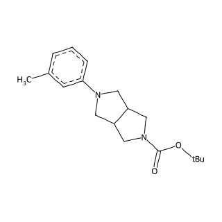 Cc1cccc(N2CC3CN(C(=O)OC(C)(C)C)CC3C2)c1